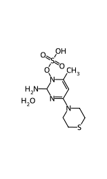 CC1=CC(N2CCSCC2)=NC(N)N1OS(=O)(=O)O.O